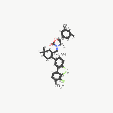 COc1cc(F)c(-c2ccc(C(=O)O)c(F)c2F)cc1C1=C(CN2C(=O)O[C@H](c3cc(C)cc(C(F)(F)F)c3)[C@@H]2C)CC(C)(C)CC1